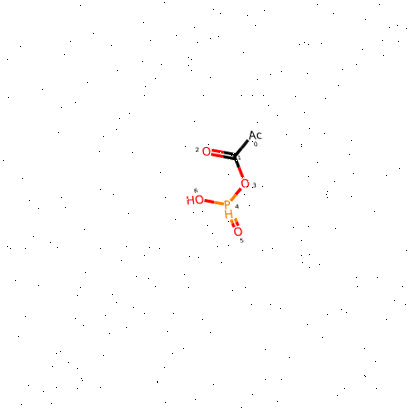 CC(=O)C(=O)O[PH](=O)O